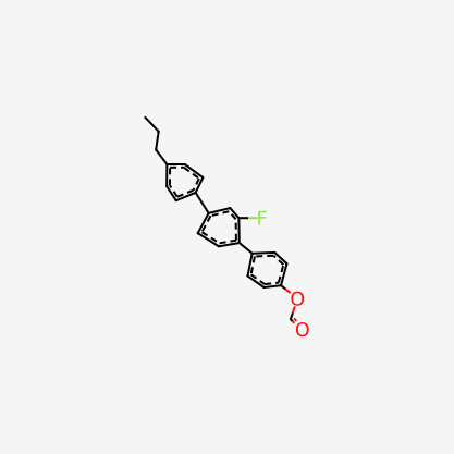 CCCc1ccc(-c2ccc(-c3ccc(OC=O)cc3)c(F)c2)cc1